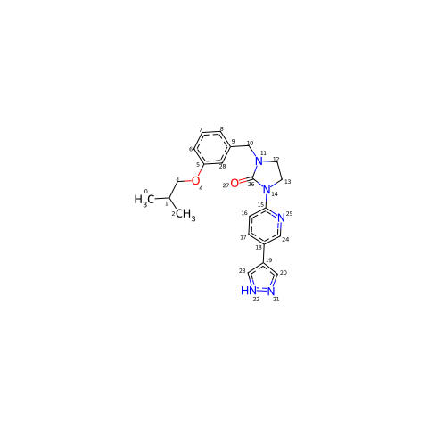 CC(C)COc1cccc(CN2CCN(c3ccc(-c4cn[nH]c4)cn3)C2=O)c1